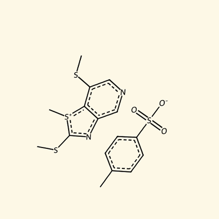 CSc1cncc2nc(SC)[s+](C)c12.Cc1ccc(S(=O)(=O)[O-])cc1